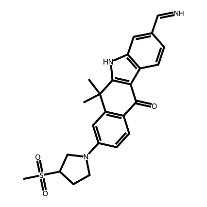 CC1(C)c2cc(N3CCC(S(C)(=O)=O)C3)ccc2C(=O)c2c1[nH]c1cc(C=N)ccc21